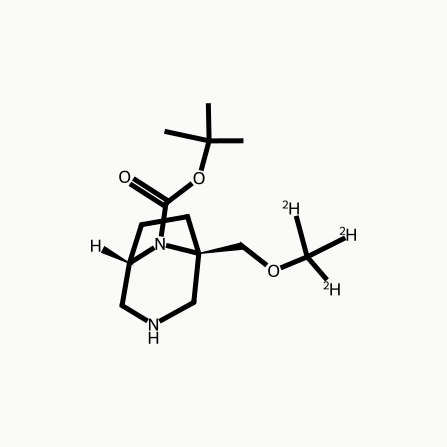 [2H]C([2H])([2H])OC[C@@]12CC[C@@H](CNC1)N2C(=O)OC(C)(C)C